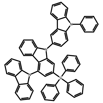 c1ccc(-n2c3ccccc3c3cc(-n4c5ccccc5c5c(-n6c7ccccc7c7ccccc76)cc([Si](c6ccccc6)(c6ccccc6)c6ccccc6)cc54)ccc32)cc1